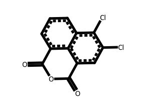 O=C1OC(=O)c2cc(Cl)c(Cl)c3cccc1c23